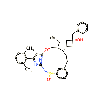 Cc1cccc(C)c1-c1cc2nc(n1)N[S+]([O-])c1cccc(c1)CCC([C@H]1C[C@@](O)(Cc3ccccc3)C1)[C@H](CC(C)(C)C)CO2